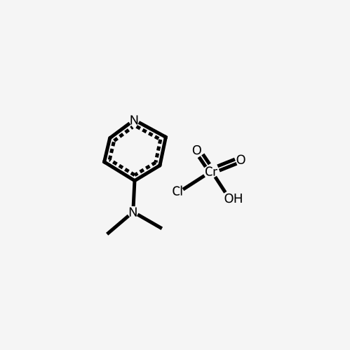 CN(C)c1ccncc1.[O]=[Cr](=[O])([OH])[Cl]